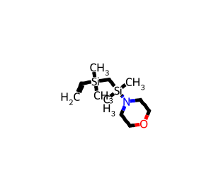 C=C[Si](C)(C)C[Si](C)(C)N1CCOCC1